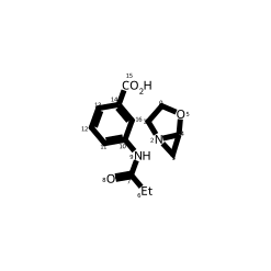 C1CN2CC2O1.CCC(=O)Nc1cccc(C(=O)O)c1